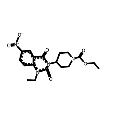 CCOC(=O)N1CCC(n2c(=O)c3cc([N+](=O)[O-])ccc3n(CC)c2=O)CC1